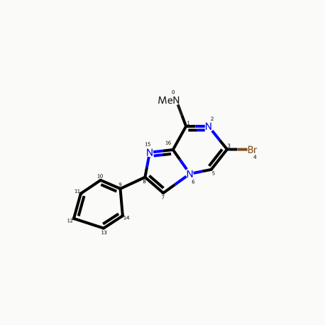 CNc1nc(Br)cn2cc(-c3ccccc3)nc12